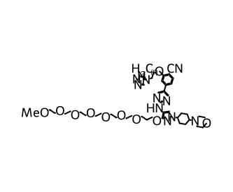 COCCOCCOCCOCCOCCOCCOCCCOc1nn(C2CCC(N3CCOCC3)CC2)cc1Nc1ncc(-c2ccc(C#N)c(O[C@@H](C)Cn3cnnn3)c2)cn1